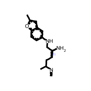 C=NC(C)C/C=C(/N)CNc1ccc2oc(C)cc2c1